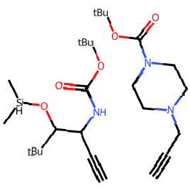 C#CC(NC(=O)OC(C)(C)C)C(O[SiH](C)C)C(C)(C)C.C#CCN1CCN(C(=O)OC(C)(C)C)CC1